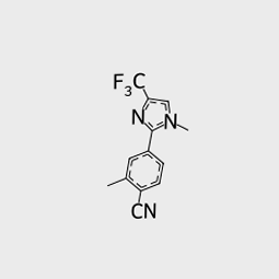 Cc1cc(-c2nc(C(F)(F)F)cn2C)ccc1C#N